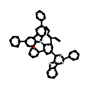 C=C/C=C(\C=C)c1cc(-c2nc(-c3ccccc3)nc3c2oc2ccccc23)cc(-c2ccccc2)c1-n1c2ccc(-c3ccccc3)cc2c2cc(-c3ccccc3)ccc21